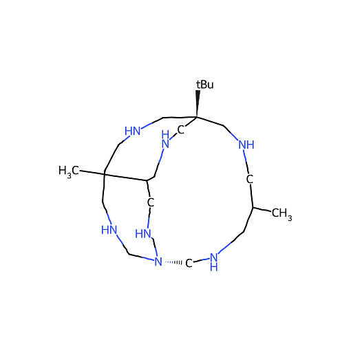 CC1CNC[N@]2CNCCCNC[C@](C(C)(C)C)(CNC1)CNCC(C)CNC2